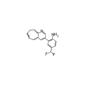 Nc1ccc(C(F)F)cc1-c1cnc2c(c1)=CC=CCC=2